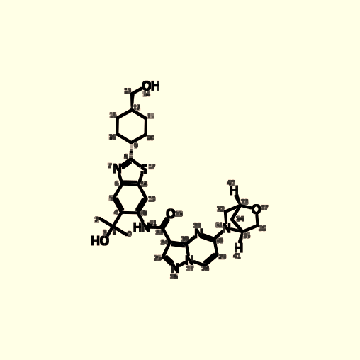 CC(C)(O)c1cc2nc([C@H]3CC[C@H](CO)CC3)sc2cc1NC(=O)c1cnn2ccc(N3C[C@H]4C[C@@H]3CO4)nc12